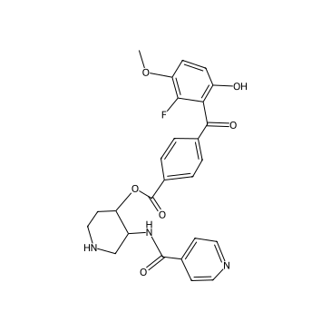 COc1ccc(O)c(C(=O)c2ccc(C(=O)OC3CCNCC3NC(=O)c3ccncc3)cc2)c1F